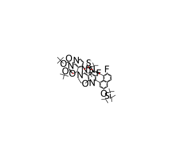 CSc1nc2c3c(nc(-c4cc(O[Si](C(C)C)(C(C)C)C(C)C)cc5ccc(F)c(C#C[Si](C(C)C)(C(C)C)C(C)C)c45)c(F)c3n1)OCCN2C(C)c1cccnc1N(C(=O)OC(C)(C)C)C(=O)OC(C)(C)C